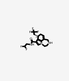 O=C(NCC(F)F)c1cn2c3c1[C@@H](CC(F)(F)F)CC=C3CNCC2